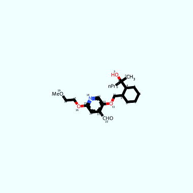 CCCC(C)(O)C1CCCCC1COc1cnc(OCCOC)cc1C=O